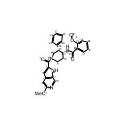 COc1cc2cc(C(=O)N3CC[C@@H](NC(=O)c4ccccc4OC(F)(F)F)[C@@H](c4ccccc4)C3)[nH]c2cn1